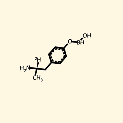 [2H][C@@](C)(N)Cc1ccc(OBO)cc1